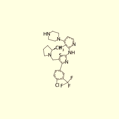 C[C@@H]1CCCN1Cc1sc(Nc2nccc(N3CCNCC3)c2F)nc1-c1ccc(Cl)c(C(F)(F)F)c1